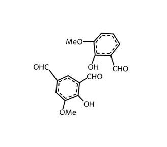 COc1cc(C=O)cc(C=O)c1O.COc1cccc(C=O)c1O